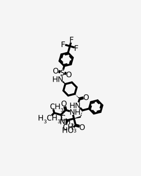 CC(C)[C@H](N)C(=O)N[C@](C[C@H](NC(=O)[C@H]1CC[C@H](NS(=O)(=O)c2ccc(C(F)(F)F)cc2)CC1)c1ccccc1)(C(=O)O)C(C)C